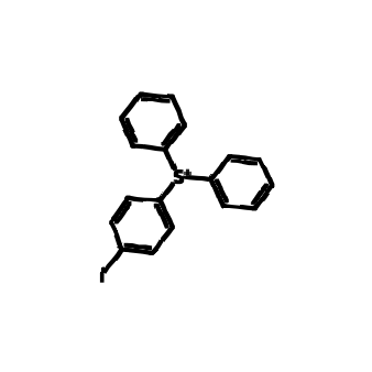 Ic1ccc([S+](c2ccccc2)c2ccccc2)cc1